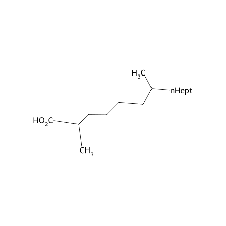 CCCCCCCC(C)CCCCC(C)C(=O)O